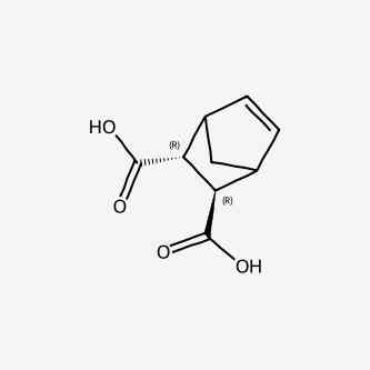 O=C(O)[C@@H]1C2C=CC(C2)[C@H]1C(=O)O